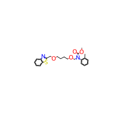 COC(=O)N(COCCCCOCc1nc2ccccc2s1)c1ccccc1C